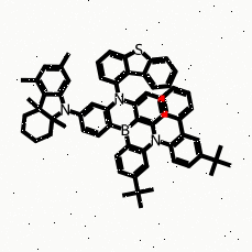 Cc1cc2c3c(c1)N(c1cccc4sc5ccccc5c14)c1cc(N4c5cc(C)cc(C)c5C5(C)CCCCC45C)ccc1B3c1ccc(C(C)(C)C)cc1N2c1ccc(C(C)(C)C)cc1-c1ccccc1